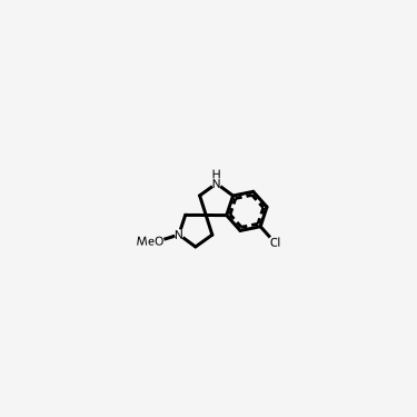 CON1CCC2(CNc3ccc(Cl)cc32)C1